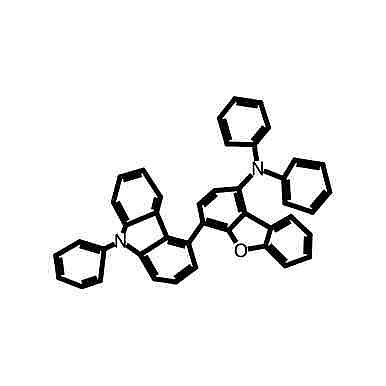 c1ccc(N(c2ccccc2)c2ccc(-c3cccc4c3c3ccccc3n4-c3ccccc3)c3oc4ccccc4c23)cc1